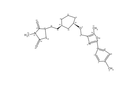 Cc1ccc(-c2nc(CO[C@@H]3CCC[C@H](CCC4SC(=O)N(C)C4=O)C3)c(C)o2)cc1